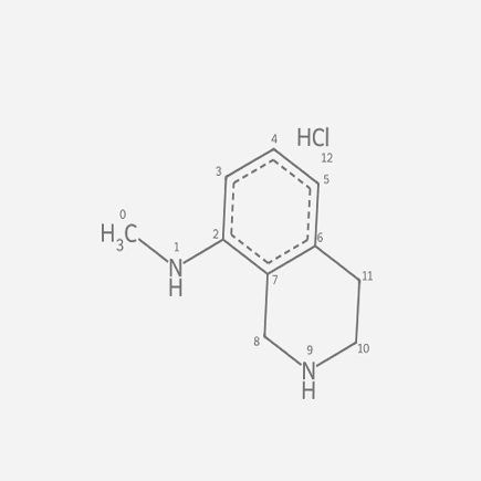 CNc1cccc2c1CNCC2.Cl